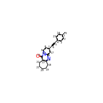 Cc1ccc(C#Cc2ccn3c(=O)c4c(nc3c2)CCCCC4)cc1